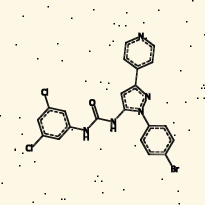 O=C(Nc1cc(Cl)cc(Cl)c1)Nc1cc(-c2ccncc2)nn1-c1ccc(Br)cc1